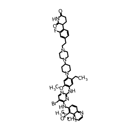 CCc1cc(Nc2ncc(Br)c(Nc3ccc4nccnc4c3P(C)(C)=O)n2)c(OC)cc1N1CCC(N2CCN(CCc3ccc(C4CCC(=O)NC4=O)c(F)c3)CC2)CC1